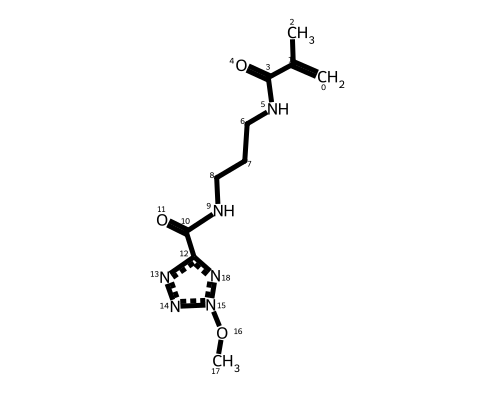 C=C(C)C(=O)NCCCNC(=O)c1nnn(OC)n1